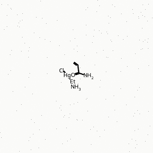 C=CC(N)=O.C[CH2][Hg][Cl].N